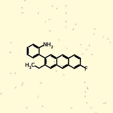 CCc1cc2cc3cc(F)ccc3cc2cc1-c1ccccc1N